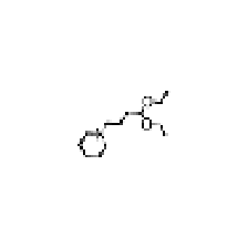 CCOC(CCCN1CCCCC1)OCC